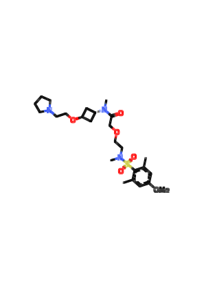 COc1cc(C)c(S(=O)(=O)N(C)CCOCC(=O)N(C)[C@H]2C[C@H](OCCN3CCCC3)C2)c(C)c1